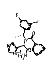 C[C@H](c1cc(F)cc(F)c1)N(C(=O)c1ccccc1)[C@@H](C(N)=O)c1cnc[nH]1